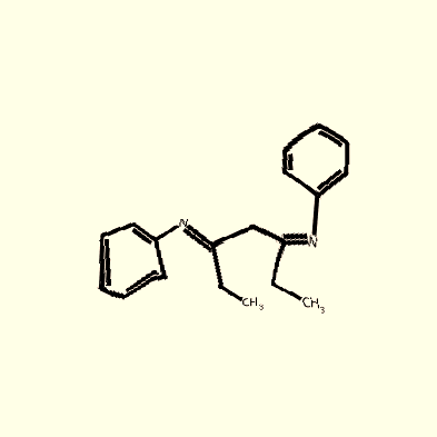 CC/C(C/C(CC)=N/c1ccccc1)=N/c1ccccc1